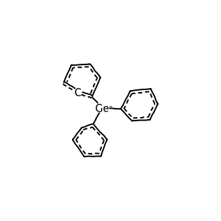 c1cc[c]([Ge-]([c]2ccccc2)[c]2ccccc2)cc1